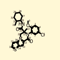 COc1ccc(Cl)cc1N1C(=O)c2cc3sccc3n2CC1(C)C(=O)NC1CCCCC1C